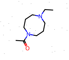 CCN1CCCN(C(C)=O)CCC1